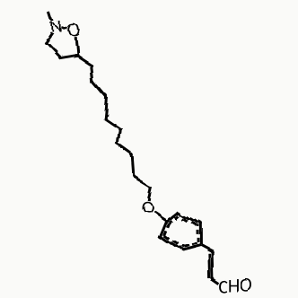 CN1CCC(CCCCCCCCCOc2ccc(/C=C/C=O)cc2)O1